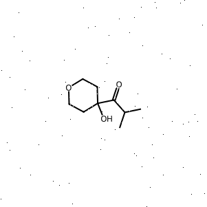 CC(C)C(=O)C1(O)CCOCC1